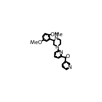 COc1ccc(OC)c(C2CN(c3cccc(C(=O)c4cccnc4)n3)CCN2)c1